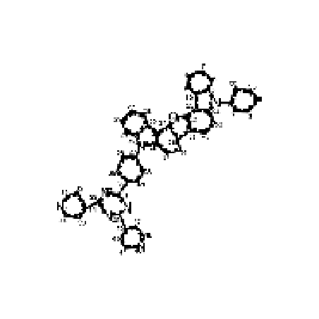 c1ccc(-n2c3ccccc3c3c4oc5c(ccc6c5c5ccccc5n6-c5ccc(-c6nc(-c7ccncc7)nc(-c7ccncc7)n6)cc5)c4ccc32)cc1